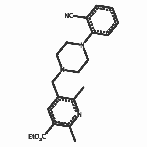 CCOC(=O)c1cc(CN2CCN(c3ccccc3C#N)CC2)c(C)nc1C